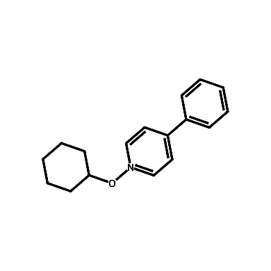 c1ccc(-c2cc[n+](OC3CCCCC3)cc2)cc1